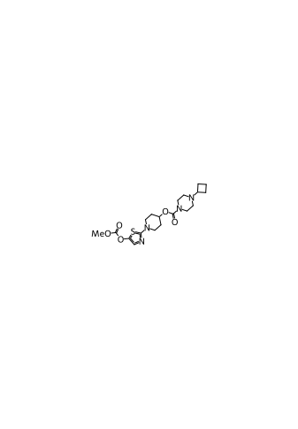 COC(=O)Oc1cnc(N2CCC(OC(=O)N3CCN(C4CCC4)CC3)CC2)s1